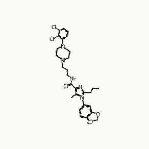 CCCc1nc(C(=O)NCCCN2CCN(c3cccc(Cl)c3Cl)CC2)c(C)n1-c1ccc2c(c1)OCO2